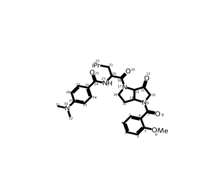 COc1ccccc1C(=O)N1CC(=O)C2C1CCN2C(=O)C(CC(C)C)NC(=O)c1ccc(N(C)C)cc1